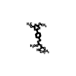 CN/C(=N\C(=N/Oc1ccc(-c2nc(OC)nc(OC)n2)cc1)OC)OC